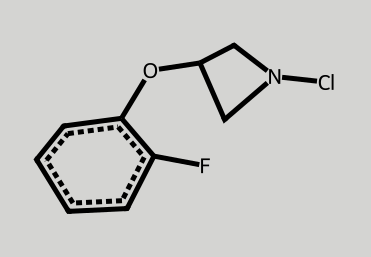 Fc1ccccc1OC1CN(Cl)C1